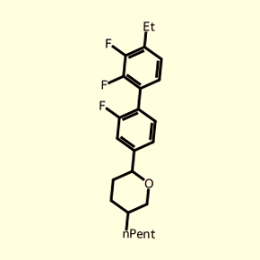 CCCCCC1CCC(c2ccc(-c3ccc(CC)c(F)c3F)c(F)c2)OC1